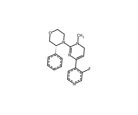 CN1CC=C(c2ccncc2F)N=C1N1CCOC[C@H]1c1ccccc1